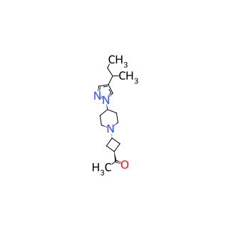 CCC(C)c1cnn(C2CCN([C@H]3C[C@H](C(C)=O)C3)CC2)c1